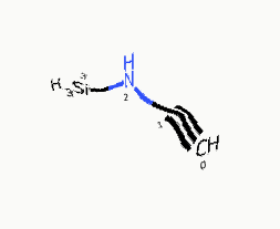 C#CN[SiH3]